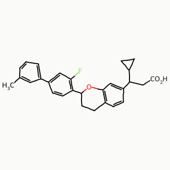 Cc1cccc(-c2ccc(C3CCc4ccc(C(CC(=O)O)C5CC5)cc4O3)c(F)c2)c1